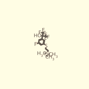 C[Si](C)(C)CCSc1cc(F)cc(C(O)(C(F)(F)F)C(F)(F)F)c1